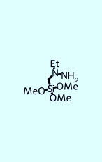 CCN(N)C[Si](OC)(OC)OC